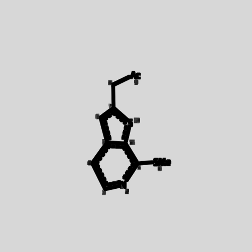 CSc1nccc2cc(CC(C)=O)sc12